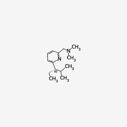 CC[C@H](c1cccc(CN(C)C)n1)C(C)C